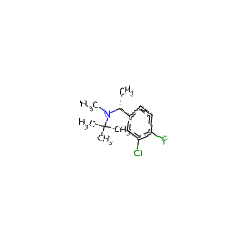 C[C@H](c1ccc(F)c(Cl)c1)N(C)C(C)(C)C